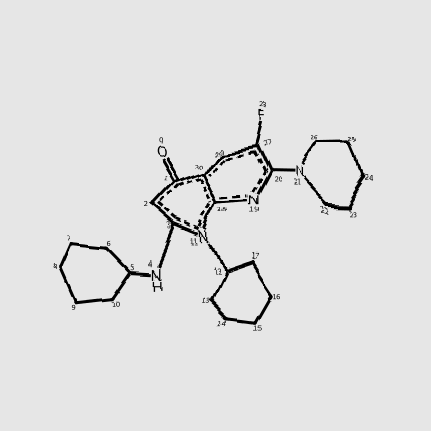 O=c1cc(NC2CCCCC2)n(C2CCCCC2)c2nc(N3CCCCC3)c(F)cc12